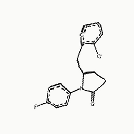 O=C1CCC(Cc2ccccc2Cl)N1c1ccc(F)cc1